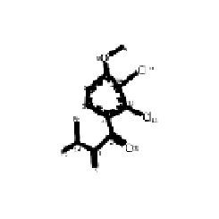 C=C(C(=O)c1ccc(OC)c(Cl)c1Cl)C(C)C